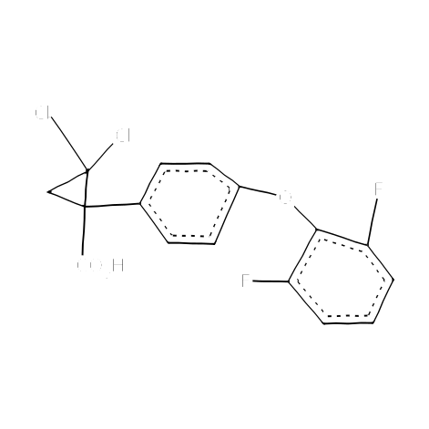 O=C(O)C1(c2ccc(Oc3c(F)cccc3F)cc2)CC1(Cl)Cl